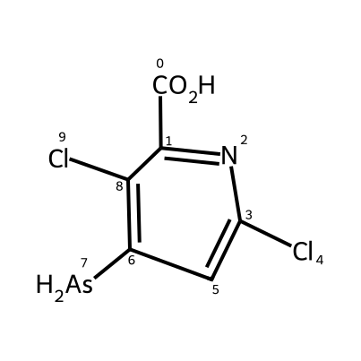 O=C(O)c1nc(Cl)cc([AsH2])c1Cl